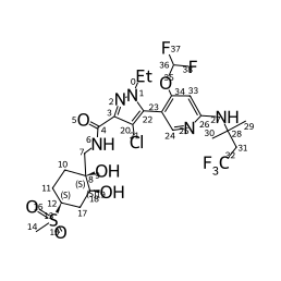 CCn1nc(C(=O)NC[C@@]2(O)CC[C@H](S(C)(=O)=O)C[C@@H]2O)c(Cl)c1-c1cnc(NC(C)(C)CC(F)(F)F)cc1OC(F)F